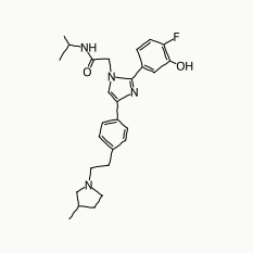 CC1CCN(CCc2ccc(-c3cn(CC(=O)NC(C)C)c(-c4ccc(F)c(O)c4)n3)cc2)C1